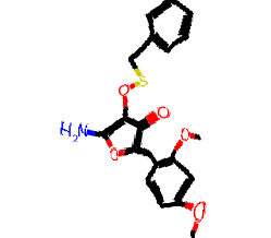 COc1ccc(C2OC(N)=C(OSCc3ccccc3)C2=O)c(OC)c1